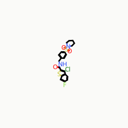 O=C(NCc1ccc(S(=O)(=O)N2CCCCC2)cc1)c1sc2cc(F)ccc2c1Cl